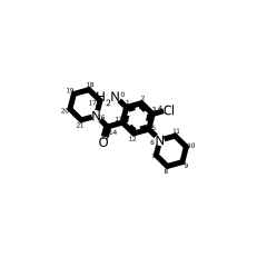 Nc1cc(Cl)c(N2CCCCC2)cc1C(=O)N1CCCCC1